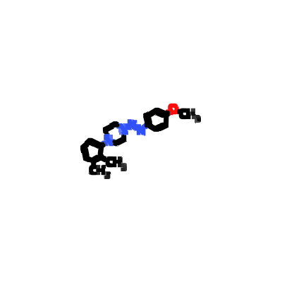 COc1ccc(/N=N/N2CCN(c3cccc(C)c3C)CC2)cc1